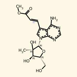 COC(=O)/C=C/c1cn([C@@H]2O[C@H](CO)[C@@H](O)[C@@]2(C)O)c2ncnc(N)c12